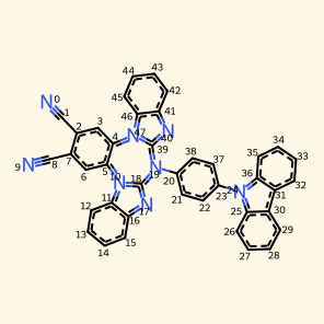 N#Cc1cc2c(cc1C#N)n1c3ccccc3nc1n(-c1ccc(-n3c4ccccc4c4ccccc43)cc1)c1nc3ccccc3n21